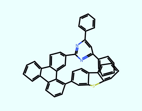 c1ccc(-c2cc(-c3ccccc3)nc(-c3ccc4c5ccccc5c5cccc(-c6ccc7c(c6)sc6ccccc67)c5c4c3)n2)cc1